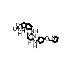 O=C1N[C@@H]2c3cc(Nc4ncc(F)c(Nc5ccc(OCc6ccccn6)cc5)n4)ccc3CC2O1